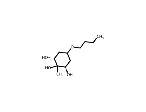 CCCCOC1C[C@@H](O)C(C)(O)[C@H](O)C1